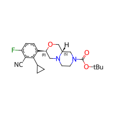 CC(C)(C)OC(=O)N1CCN2C[C@@H](c3ccc(F)c(C#N)c3C3CC3)OC[C@@H]2C1